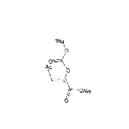 COC(=O)[C@H](CC(C)=O)OC(=O)OC(C)(C)C